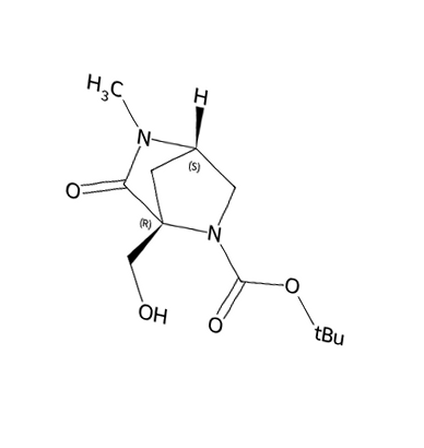 CN1C(=O)[C@]2(CO)C[C@H]1CN2C(=O)OC(C)(C)C